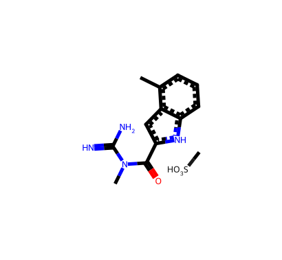 CS(=O)(=O)O.Cc1cccc2[nH]c(C(=O)N(C)C(=N)N)cc12